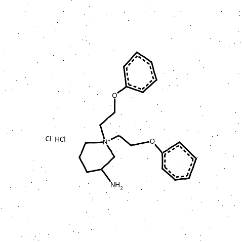 Cl.NC1CCC[N+](CCOc2ccccc2)(CCOc2ccccc2)C1.[Cl-]